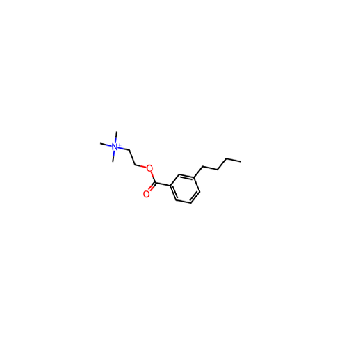 CCCCc1cccc(C(=O)OCC[N+](C)(C)C)c1